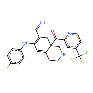 N=CC1=C(Nc2ccc(F)cc2)C=C2CCNCC2(C(=O)c2cc(C(F)(F)F)ccn2)C1